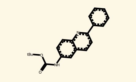 CC(C)(C)OC(=O)Nc1ccc2nc(-c3ccccc3)ccc2c1